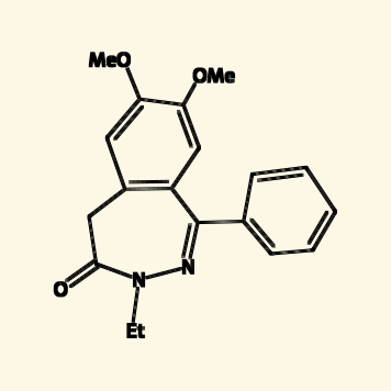 CCN1N=C(c2ccccc2)c2cc(OC)c(OC)cc2CC1=O